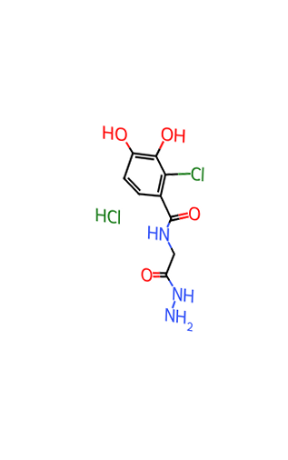 Cl.NNC(=O)CNC(=O)c1ccc(O)c(O)c1Cl